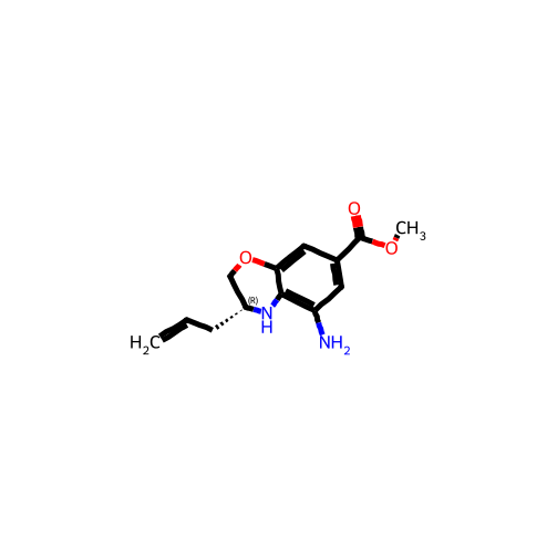 C=CC[C@@H]1COc2cc(C(=O)OC)cc(N)c2N1